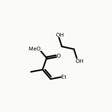 CCC=C(C)C(=O)OC.OCCO